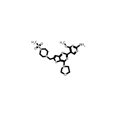 COc1nc(N)ncc1-c1nc(N2CCOCC2)c2sc(CN3CCN(S(C)(=O)=O)CC3)cc2n1